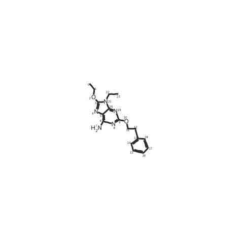 CCOc1nc2c(N)nc(OCCc3ccccc3)nc2n1CC